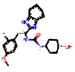 COc1ccc(C[C@@H](NC(=O)N[C@H]2CC[C@H](O)CC2)c2nc3ccccc3[nH]2)c(F)c1